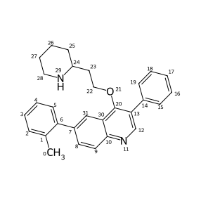 Cc1ccccc1-c1ccc2ncc(-c3ccccc3)c(OCCC3CCCCN3)c2c1